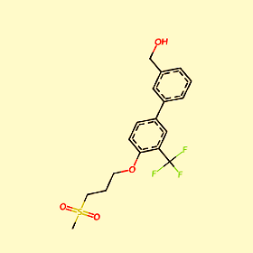 CS(=O)(=O)CCCOc1ccc(-c2cccc(CO)c2)cc1C(F)(F)F